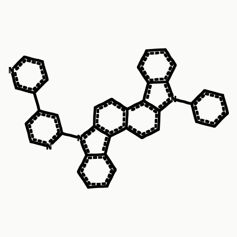 c1ccc(-n2c3ccccc3c3c4ccc5c(c4ccc32)c2ccccc2n5-c2cc(-c3cccnc3)ccn2)cc1